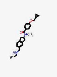 CC(C)CNCc1ccc2c(c1)C[C@H](N(C)C(=O)c1ccc(OCC3CC3)cc1)C2